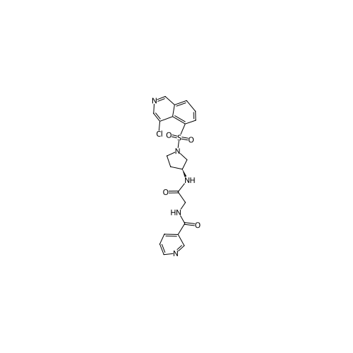 O=C(CNC(=O)c1cccnc1)N[C@H]1CCN(S(=O)(=O)c2cccc3cncc(Cl)c23)C1